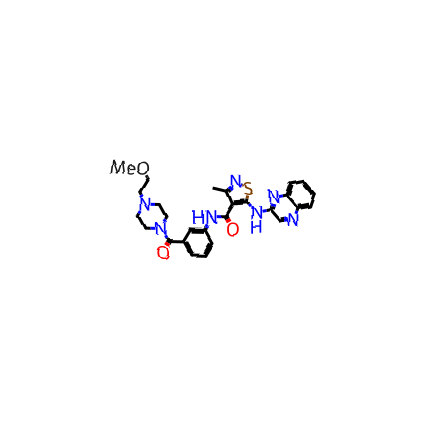 COCCN1CCN(C(=O)c2cccc(NC(=O)c3c(C)nsc3Nc3cnc4ccccc4n3)c2)CC1